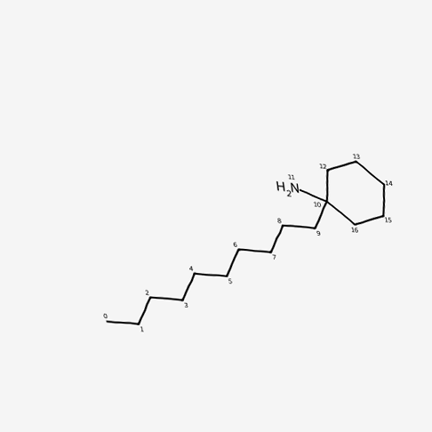 CCCCCCCCCCC1(N)CCCCC1